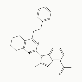 CC(=O)c1cccc2c1cc(C)n2-c1nc2c(c(CCc3ccccc3)n1)CCCC2